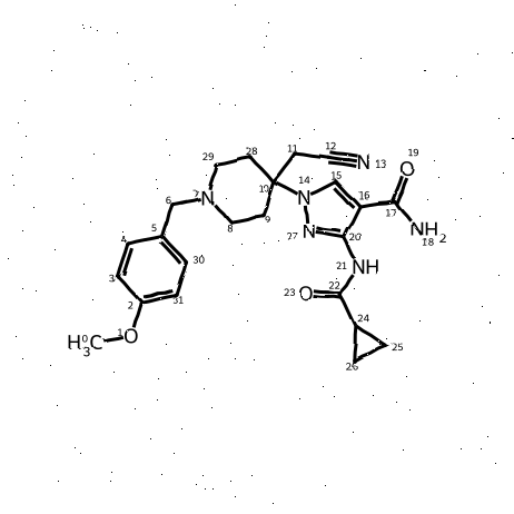 COc1ccc(CN2CCC(CC#N)(n3cc(C(N)=O)c(NC(=O)C4CC4)n3)CC2)cc1